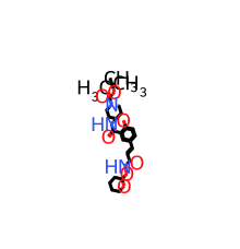 CC(C)(C)OC(=O)N1CCC2(CC1)NC(=O)c1cc(C=CC(=O)NOC3CCCCO3)ccc1O2